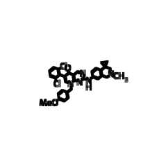 COc1ccc(Cn2cc(-c3c(Cl)cccc3Cl)c(=O)c3cnc(Nc4ccc5c(c4)CN(C)CC54CC4)nc32)cc1